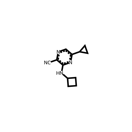 N#Cc1ncc(C2CC2)nc1NC1CCC1